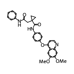 COc1cc2nccc(Oc3ccc(NC(=O)C4(CC(=O)Nc5ccccc5)CC4)cc3)c2cc1OC